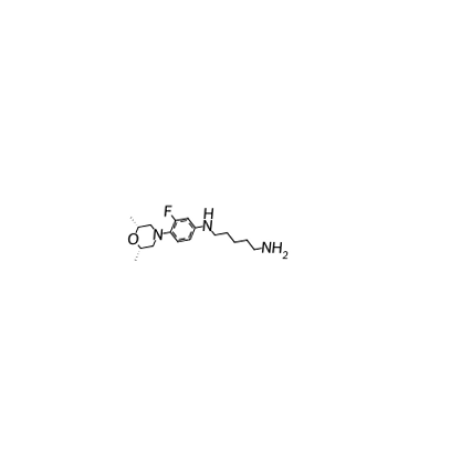 C[C@@H]1CN(c2ccc(NCCCCCN)cc2F)C[C@H](C)O1